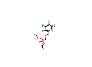 CCOP(=O)(COCc1c(F)c(F)c(F)c(F)c1F)OCC